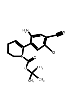 CC(C)(C)OC(=O)N1CCCC=C1c1cc(Cl)c(C#N)cc1N